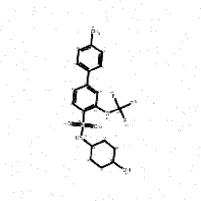 Cc1ccc(-c2ccc(S(=O)(=O)NC3CCC(O)CC3)c(OC(F)(F)F)c2)cc1